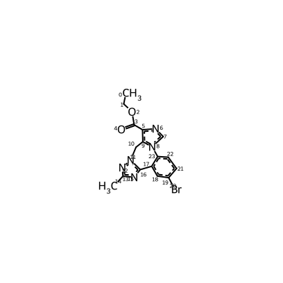 CCOC(=O)c1ncn2c1Cn1nc(C)nc1-c1cc(Br)ccc1-2